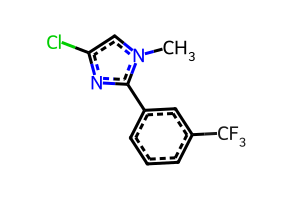 Cn1cc(Cl)nc1-c1cccc(C(F)(F)F)c1